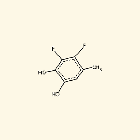 Cc1cc(O)c(O)c(F)c1F